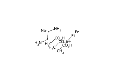 CC(=O)O.CC(=O)O.CC(=O)O.CCO.NCCN.[Fe].[Na]